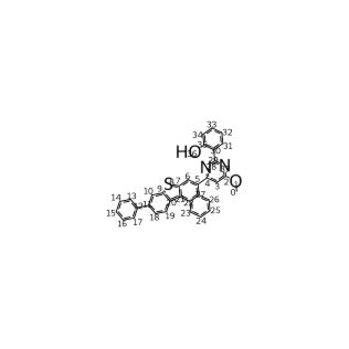 COc1cc(-c2cc3sc4cc(-c5ccccc5)ccc4c3c3ccccc23)nc(-c2ccccc2O)n1